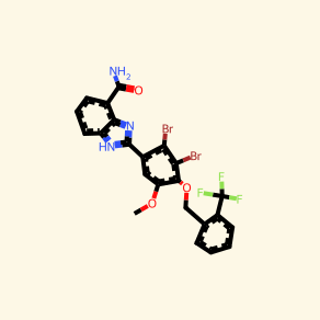 COc1cc(-c2nc3c(C(N)=O)cccc3[nH]2)c(Br)c(Br)c1OCc1ccccc1C(F)(F)F